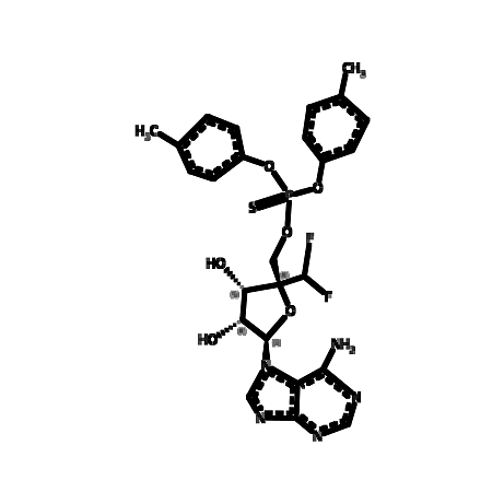 Cc1ccc(OP(=S)(OC[C@@]2(C(F)F)O[C@@H](n3cnc4ncnc(N)c43)[C@H](O)[C@@H]2O)Oc2ccc(C)cc2)cc1